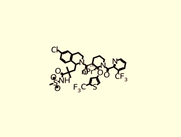 CCC[C@@]1(Oc2csc(C(F)(F)F)c2)[C@@H](C(=O)N2CCc3cc(Cl)ccc3C2CC(C)(C)C(=O)NS(C)(=O)=O)CCCN1C(=O)c1ncccc1C(F)(F)F